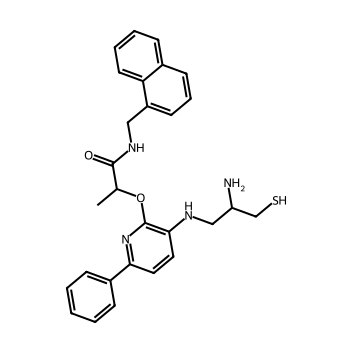 CC(Oc1nc(-c2ccccc2)ccc1NCC(N)CS)C(=O)NCc1cccc2ccccc12